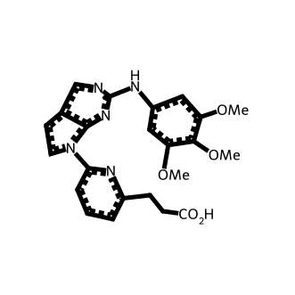 COc1cc(Nc2ncc3ccn(-c4cccc(CCC(=O)O)n4)c3n2)cc(OC)c1OC